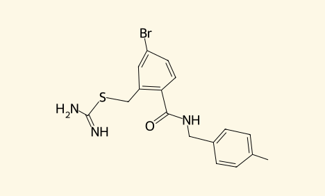 Cc1ccc(CNC(=O)c2ccc(Br)cc2CSC(=N)N)cc1